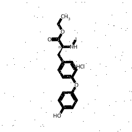 CCOC(=O)[C@H](Cc1ccc(Oc2ccc(O)cc2)cc1)NI.Cl